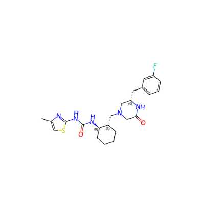 Cc1csc(NC(=O)N[C@@H]2CCCC[C@H]2CN2CC(=O)N[C@@H](Cc3cccc(F)c3)C2)n1